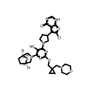 N#Cc1c(N2CCC(c3c(Cl)sc4[nH]cnc(=O)c34)C2)nc(OCC2(CN3CCOCC3)CC2)nc1N1C[C@H]2CC[C@@H](C1)N2